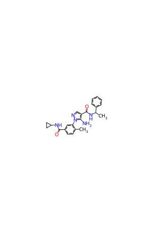 Cc1ccc(C(=O)NC2CC2)cc1-n1ncc(C(=O)NC(C)c2ccccc2)c1N